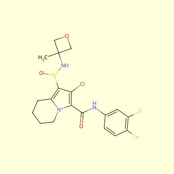 CC1(N[S+]([O-])c2c(Cl)c(C(=O)Nc3ccc(F)c(F)c3)n3c2CCCC3)COC1